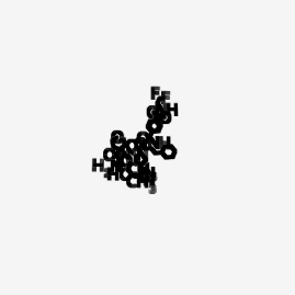 CC(C)(O)c1cnnn1[C@H]1C[C@@H](C(=O)NC2(C(=O)C(N)=O)CCOCC2)N(C(=O)C(CC2CCCCC2)NC(=O)c2ccc(S(=O)(=O)NCC(F)F)cc2)C1